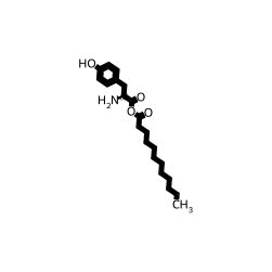 CCCCCCCCCCCC(=O)OC(=O)[C@@H](N)Cc1ccc(O)cc1